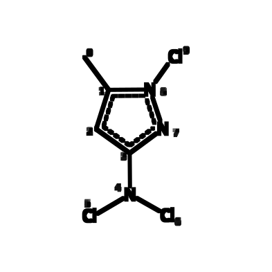 Cc1cc(N(Cl)Cl)nn1Cl